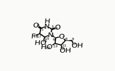 O=C1NC(=O)N([C@H]2O[C@@H](CO)C(O)C2O)C(O)C1F